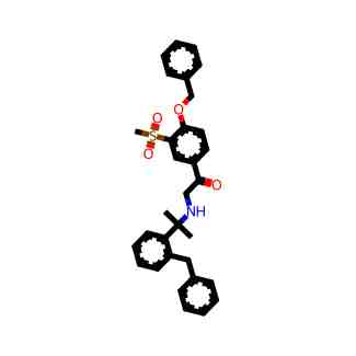 CC(C)(NCC(=O)c1ccc(OCc2ccccc2)c(S(C)(=O)=O)c1)c1ccccc1Cc1ccccc1